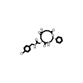 O=C(C[C@@H]1CC2O[C@H]2CCC(=O)O[C@H](c2ccccc2)CNC1=O)NCc1ccc(Cl)cc1